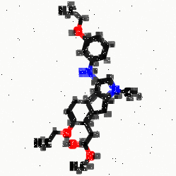 CCOC1=CCC2=c3c(Nc4cccc(OCC)c4)cn(C)c3=CC2=C1CC(=O)OC